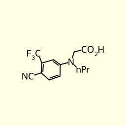 CCCN(CC(=O)O)c1ccc(C#N)c(C(F)(F)F)c1